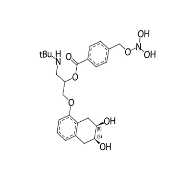 CC(C)(C)NCC(COc1cccc2c1C[C@@H](O)[C@@H](O)C2)OC(=O)c1ccc(CON(O)O)cc1